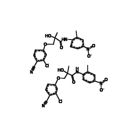 Cc1cc([N+](=O)[O-])ccc1NC(=O)C(C)(O)COc1ccc(C#N)c(Cl)c1.Cc1cc([N+](=O)[O-])ccc1NC(=O)C(C)(O)COc1ccc(C#N)c(Cl)c1